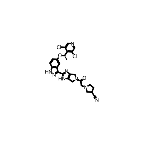 C[C@@H](Oc1ccc2[nH]nc(-c3nc4c([nH]3)CN(C(=O)CN3CCC(C#N)C3)C4)c2c1)c1c(Cl)cncc1Cl